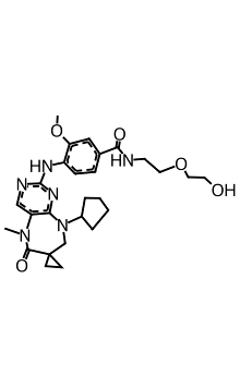 COc1cc(C(=O)NCCOCCO)ccc1Nc1ncc2c(n1)N(C1CCCC1)CC1(CC1)C(=O)N2C